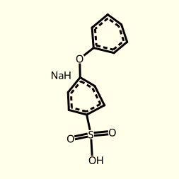 O=S(=O)(O)c1ccc(Oc2ccccc2)cc1.[NaH]